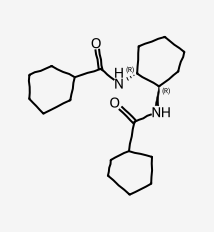 O=C(N[C@@H]1CCCC[C@H]1NC(=O)C1CCCCC1)C1CCCCC1